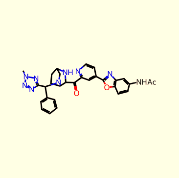 CC(=O)Nc1ccc2oc(-c3ccnc(C(=O)C4NC5CCC4N(C(c4ccccc4)c4nnn(C)n4)C5)c3)nc2c1